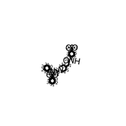 CS(=O)(=O)c1ccc(NC(=O)CC2CCN(CCN(c3ccccc3)S(=O)(=O)c3ccccc3)CC2)cc1